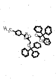 Cc1ccc(-c2noc(COC(c3ccccc3)(c3ccccc3)c3ccccc3)n2)cc1.O=C(O)C(=O)C(c1ccccc1)(c1ccccc1)c1ccccc1